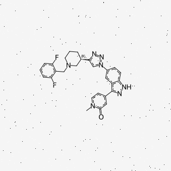 Cn1ccc(-c2n[nH]c3ccc(-n4cc([C@@H]5CCCN(Cc6c(F)cccc6F)C5)nn4)cc23)cc1=O